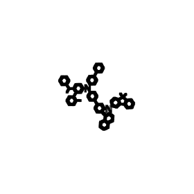 Cc1ccccc1-c1cc(N(c2ccc(-c3ccccc3)cc2)c2ccc(-c3ccc4c5c6ccccc6ccc5n(-c5ccc6c(c5)-c5ccccc5C6(C)C)c4c3)cc2)ccc1C(C)c1ccccc1